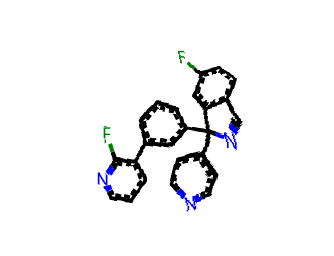 Fc1ccc2c(c1)C(c1ccncc1)(c1cccc(-c3cccnc3F)c1)N=C2